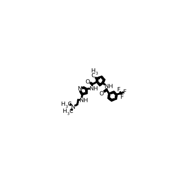 Cc1ccc(NC(=O)c2cccc(C(F)(F)F)c2)cc1C(=O)Nc1cncc(NCCN(C)C)c1